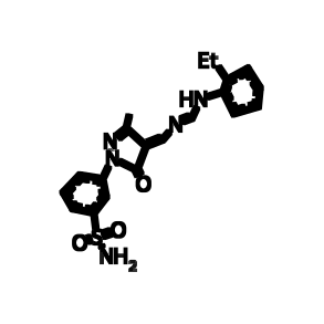 CCc1ccccc1NC=NC=C1C(=O)N(c2cccc(S(N)(=O)=O)c2)N=C1C